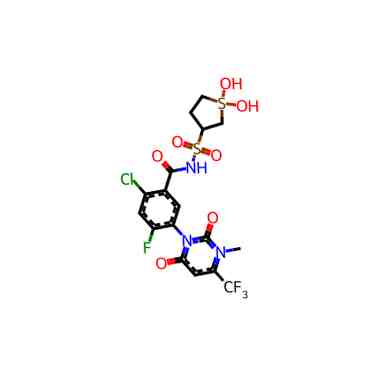 Cn1c(C(F)(F)F)cc(=O)n(-c2cc(C(=O)NS(=O)(=O)C3CCS(O)(O)C3)c(Cl)cc2F)c1=O